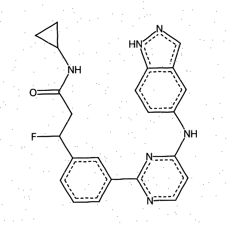 O=C(CC(F)c1cccc(-c2nccc(Nc3ccc4[nH]ncc4c3)n2)c1)NC1CC1